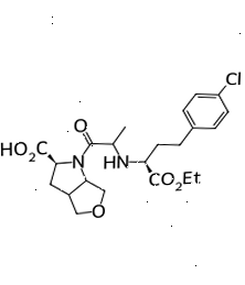 CCOC(=O)[C@H](CCc1ccc(Cl)cc1)NC(C)C(=O)N1C2COCC2C[C@H]1C(=O)O